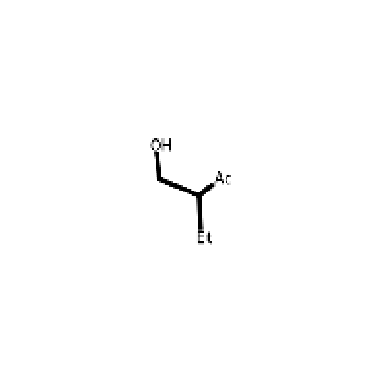 CCC(CO)C(C)=O